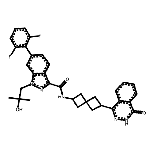 CC(C)(O)Cn1nc(C(=O)NC2CC3(C2)CC(c2n[nH]c(=O)c4ccccc24)C3)c2ccc(-c3c(F)cccc3F)cc21